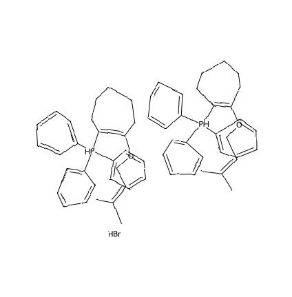 Br.CC(C)=CCOC1=C([PH](c2ccccc2)(c2ccccc2)c2ccccc2)CCCCC1.CC(C)=CCOC1=C([PH](c2ccccc2)(c2ccccc2)c2ccccc2)CCCCC1